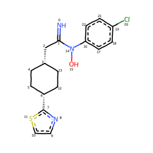 N=C(C[C@H]1CC[C@@H](c2nccs2)CC1)N(O)c1ccc(Cl)cc1